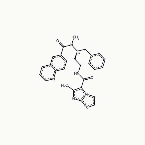 Cc1nc2sccn2c1C(=O)NCC[C@H](Cc1ccccc1)N(C)C(=O)c1ccc2ncccc2c1